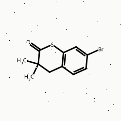 CC1(C)Cc2ccc(Br)cc2SC1=O